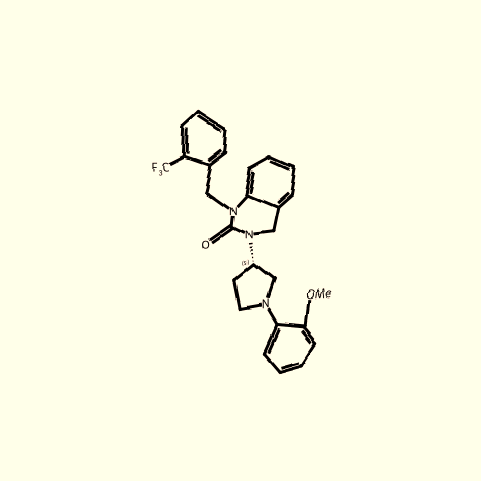 COc1ccccc1N1CC[C@H](N2Cc3ccccc3N(Cc3ccccc3C(F)(F)F)C2=O)C1